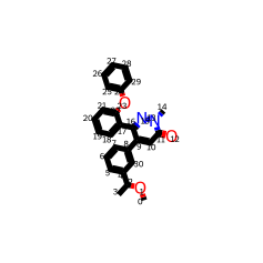 COC(C)c1cccc(-c2cc(=O)n(C)nc2-c2ccccc2Oc2ccccc2)c1